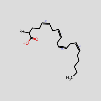 [2H]C(CC/C=C\C/C=C\C/C=C\C/C=C\CCCCC)C(=O)O